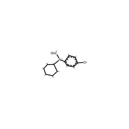 O=CN(c1ccc(Cl)cc1)C1CCCCC1